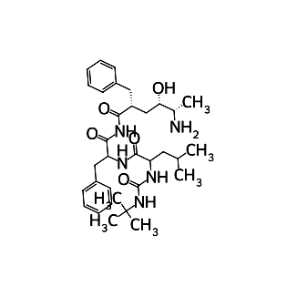 CC(C)CC(NC(=O)NC(C)(C)C)C(=O)NC(Cc1ccccc1)C(=O)NC(=O)[C@H](Cc1ccccc1)C[C@H](O)[C@H](C)N